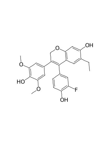 CCc1cc2c(cc1O)OCC(c1cc(OC)c(O)c(OC)c1)=C2c1ccc(O)c(F)c1